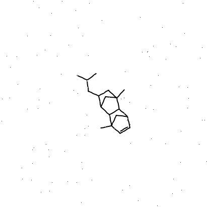 CC(C)CC1CC2(C)CC1C1C2C2C=CC1(C)C2